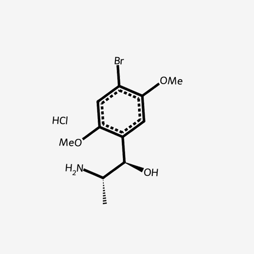 COc1cc([C@@H](O)[C@H](C)N)c(OC)cc1Br.Cl